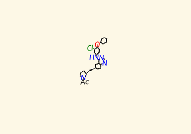 CC(=O)N1CCC=C(C#Cc2ccc3ncnc(Nc4ccc(Oc5ccccc5)c(Cl)c4)c3c2)C1